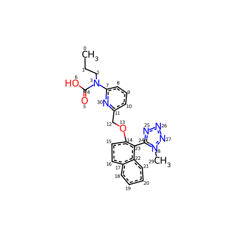 CCCN(C(=O)O)c1cccc(COc2ccc3ccccc3c2-c2nnnn2C)n1